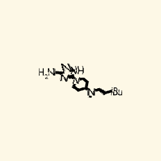 CCC(C)CCN(C)C1CCN(c2nc(N)n[nH]2)CC1